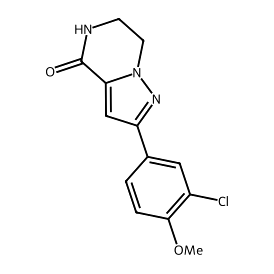 COc1ccc(-c2cc3n(n2)CCNC3=O)cc1Cl